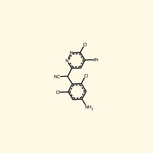 CC(C)c1cc(C(C#N)c2c(Cl)cc(N)cc2Cl)nnc1Cl